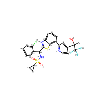 CC(O)(c1ccnc(-c2cccc3nc(C(NS(=O)(=O)C4CC4)c4ccccc4Cl)sc23)c1)C(F)(F)F